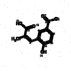 CC(=Cc1cc([N+](=O)[O-])ccc1O)C(=O)O